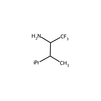 CC(C)C(C)C(N)C(F)(F)F